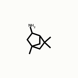 CC12CC(N)C(C1)C(C)(C)C2